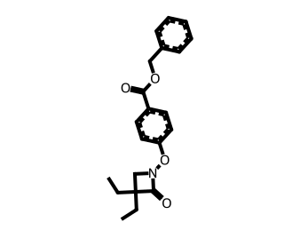 CCC1(CC)CN(Oc2ccc(C(=O)OCc3ccccc3)cc2)C1=O